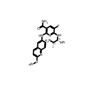 CCCOc1ccc2cc(Nc3nc(N[C@H](CCC)[C@H](C)N)c(F)cc3C(N)=O)ccc2n1